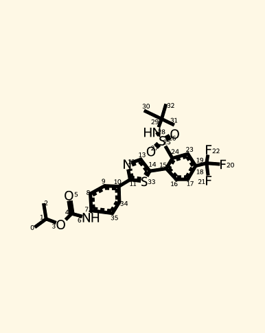 CC(C)OC(=O)Nc1ccc(-c2ncc(-c3ccc(C(F)(F)F)cc3S(=O)(=O)NC(C)(C)C)s2)cc1